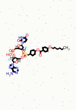 CCCCCCOc1ccc(C(=O)Oc2ccc(CSP3(=O)OC[C@H]4O[C@@H](n5cnc6c(N)ncnc65)[C@H](F)[C@@H]4OP(=O)(O)OC[C@H]4O[C@@H](n5ccc(=O)[nH]c5=O)[C@H](F)[C@@H]4O3)cc2)cc1